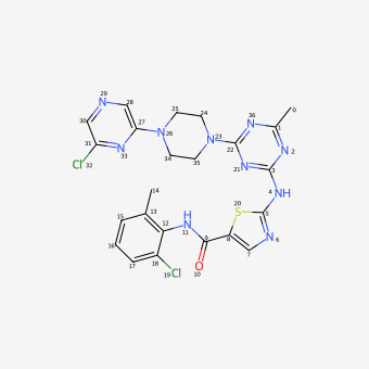 Cc1nc(Nc2ncc(C(=O)Nc3c(C)cccc3Cl)s2)nc(N2CCN(c3cncc(Cl)n3)CC2)n1